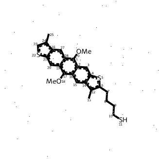 COc1c2cc3sc(CCCCS)c(C)c3cc2c(OC)c2cc3scc(C)c3cc12